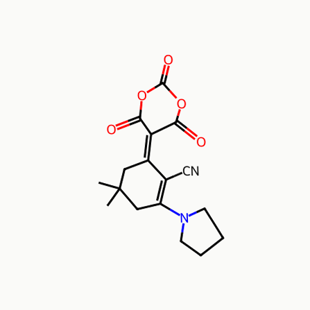 CC1(C)CC(=C2C(=O)OC(=O)OC2=O)C(C#N)=C(N2CCCC2)C1